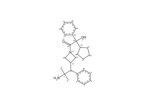 CC(C)(N)C(c1ccccc1)C1CN(C(=O)C(O)(c2ccccc2)C2CCCC2)C1